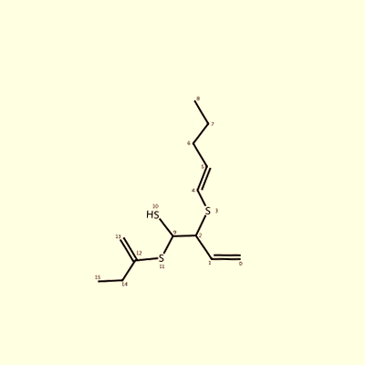 C=CC(SC=CCCC)C(S)SC(=C)CC